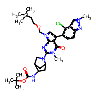 Cn1cc2c(Cl)c(-c3cn(COCC[Si](C)(C)C)c4nc(N5CC6CC5CC6NC(=O)OC(C)(C)C)n(C)c(=O)c34)ccc2n1